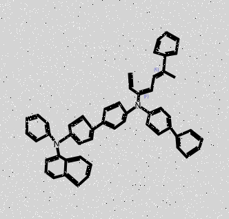 C=C/C(=C\C=C(/C)c1ccccc1)N(c1ccc(-c2ccccc2)cc1)c1ccc(-c2ccc(N(c3ccccc3)c3cccc4ccccc34)cc2)cc1